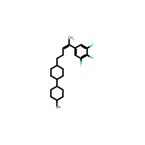 CCCC1CCC(C2CCC(CCC=C(C)c3cc(F)c(F)c(F)c3)CC2)CC1